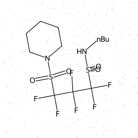 CCCCNS(=O)(=O)C(F)(F)C(F)(F)C(F)(F)S(=O)(=O)N1CCCCC1